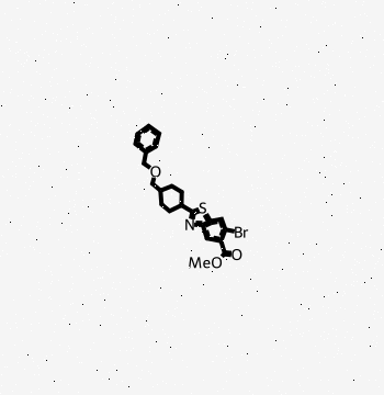 COC(=O)c1cc2nc(C3CCC(COCc4ccccc4)CC3)sc2cc1Br